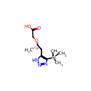 C[C@@H](Cc1[nH]nnc1[Si](C)(C)C)OCC(=O)O